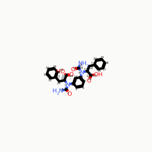 NC(=O)N(c1cccc(N(C(N)=O)C(Cc2ccccc2)C(=O)O)c1)C(Cc1ccccc1)C(=O)O